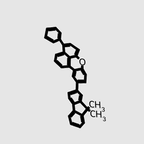 CC1(C)c2ccccc2-c2ccc(-c3ccc4c(c3)-c3cccc5c(-c6ccccc6)ccc(c35)O4)cc21